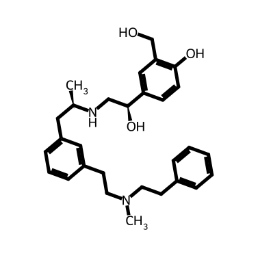 C[C@H](Cc1cccc(CCN(C)CCc2ccccc2)c1)NC[C@H](O)c1ccc(O)c(CO)c1